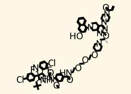 C=CC(=O)N1CCN(c2nc(O[C@H](C)CN3CCC(OCCOCCOCCNC(=O)c4ccc(NC(=O)[C@@H]5N[C@@H](CC(C)(C)C)[C@](C#N)(c6ccc(Cl)cc6F)[C@H]5c5cccc(Cl)c5F)c(OC)c4)CC3)nc3c2CCN(c2cc(O)cc4ccccc24)C3)CC1